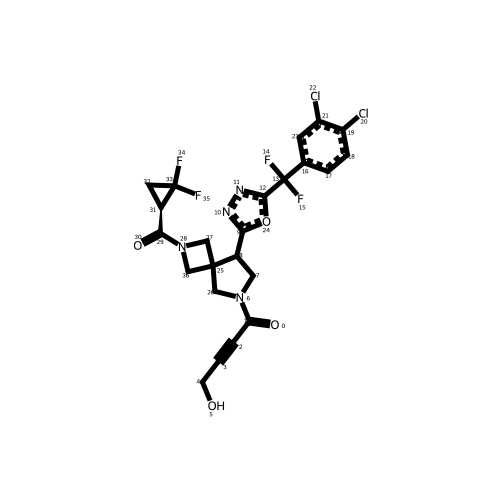 O=C(C#CCO)N1CC(c2nnc(C(F)(F)c3ccc(Cl)c(Cl)c3)o2)C2(C1)CN(C(=O)[C@H]1CC1(F)F)C2